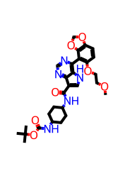 COCCOc1ccc2c(c1-c1ncnc3c(C(=O)NC4CCC(NC(=O)OC(C)(C)C)CC4)c[nH]c13)OCO2